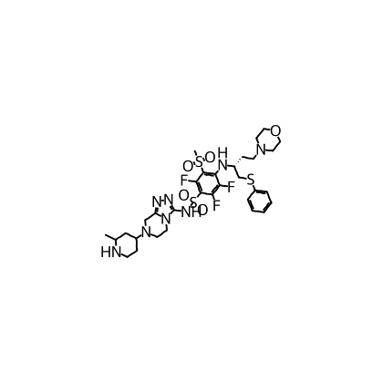 CC1CC(N2CCn3c(nnc3NS(=O)(=O)c3c(F)c(F)c(N[C@H](CCN4CCOCC4)CSc4ccccc4)c(S(C)(=O)=O)c3F)C2)CCN1